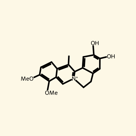 COc1ccc2c(C)c3[n+](cc2c1OC)CCc1cc(O)c(O)cc1-3